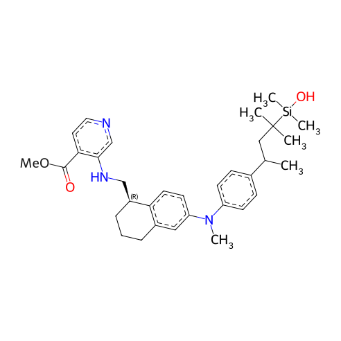 COC(=O)c1ccncc1NC[C@@H]1CCCc2cc(N(C)c3ccc(C(C)CC(C)(C)[Si](C)(C)O)cc3)ccc21